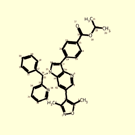 Cc1noc(C)c1-c1cnc2c(-c3ccc(C(=O)OC(C)C)cc3)cn([C@@H](c3ccccc3)c3ccccn3)c2c1